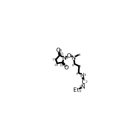 CCN=C=NCCCN(C)ON1C(=O)CCC1=O